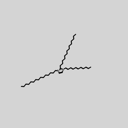 CCCCCCCCCCCCCCC[n+]1ccn(CCCCCCCCCCC)c1CCCCCCCCCCCCCC